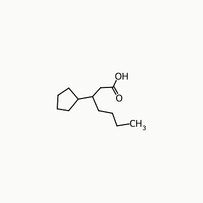 CCCCC(CC(=O)O)C1CCCC1